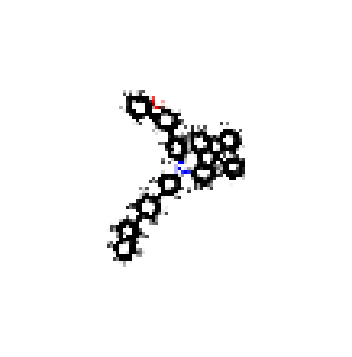 c1ccc(C2(c3ccccc3)c3ccccc3-c3c(N(c4ccc(-c5ccc(-c6ccc7ccccc7c6)cc5)cc4)c4ccc(-c5ccc6oc7ccccc7c6c5)cc4)cccc32)cc1